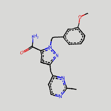 COc1cccc(Cn2nc(-c3ccnc(C)n3)cc2C(N)=O)c1